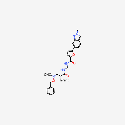 CCCCC[C@H](CN(C=O)OCc1ccccc1)C(=O)NCNC(=O)c1ccc(-c2ccc3cn(C)nc3c2)o1